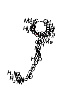 CO[C@H]1C[C@@H]2CC[C@@H](C)[C@@](O)(O2)C(=O)C(=O)N2CCCC[C@H]2C(=O)O[C@H]([C@H](N)C[C@@H]2CC[C@@H](OC(=O)NCc3cnc(N4CCN(c5ncc(C(=O)NCCOCCOCCOCCOCCC(=O)N6CCc7cc(Cn8nc(-c9ccc%10oc(N)nc%10c9)c9c(N)ncnc98)ccc7C6)cn5)CC4)nc3)[C@H](OC)C2)C[C@@H](O)[C@H](C)/C=C(\C)[C@@H](O)[C@@H](O)C(=O)[C@H](C)C[C@H](C)/C=C/C=C/C=C/1C